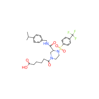 CC(C)c1ccc(CNC(=O)C2CN(C(=O)CCCCC(=O)O)CCN2S(=O)(=O)c2ccc(C(F)(F)F)cc2)cc1